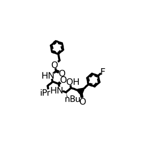 CCCC[C@H](NC(=O)C(CC(C)C)NC(=O)OCc1ccccc1)C(O)c1c(-c2ccc(F)cc2)c1=O